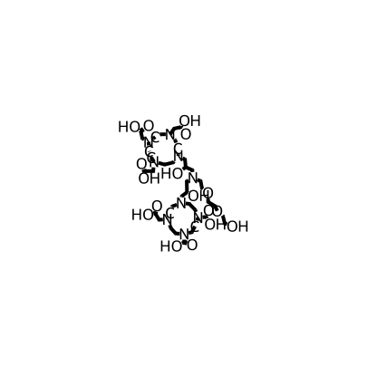 O=C(O)CN1CCN(CC(=O)O)CCN(CC(O)CN(CCOCCOCCO)CC(O)CN2CCN(CC(=O)O)CCN(C(=O)O)CCN(C(=O)O)CC2)CCN(CC(=O)O)CC1